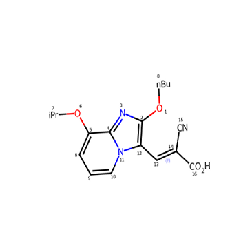 CCCCOc1nc2c(OC(C)C)cccn2c1/C=C(\C#N)C(=O)O